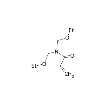 C=CC(=O)N(COCC)COCC